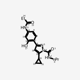 CCCNC(=O)n1nc(-c2ccc(NC(=O)CC)cc2O)cc1C1CC1